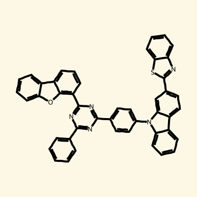 c1ccc(-c2nc(-c3ccc(-n4c5ccccc5c5ccc(-c6nc7ccccc7s6)cc54)cc3)nc(-c3cccc4c3oc3ccccc34)n2)cc1